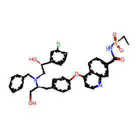 CCS(=O)(=O)NC(=O)c1ccc2c(Oc3ccc(C[C@@H](CO)N(Cc4ccccc4)C[C@@H](O)c4cccc(Cl)c4)cc3)ccnc2c1